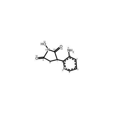 Nc1cccnc1C1CC(=O)N(O)C1=O